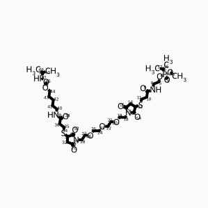 COP(=O)(OCCNC(=O)CCSC1CC(=O)N(CCOCCOCCOCCN2C(=O)CC(SCCC(=O)NCCCCCOOPC(C)C)C2=O)C1=O)C(C)C